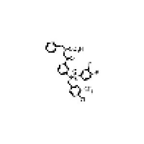 O=C(CC(Cc1ccccc1)C(=O)O)c1cccc(N(Cc2ccc(Cl)c(C(F)(F)F)c2)S(=O)(=O)c2ccc(F)c(F)c2)c1